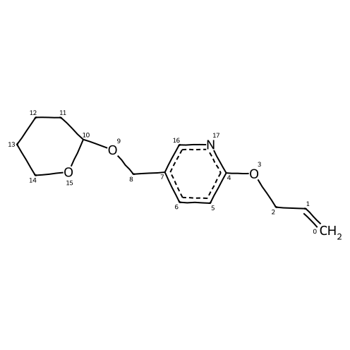 C=CCOc1ccc(COC2CCCCO2)cn1